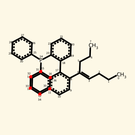 CCCC=C(CCC)c1ccc2ccccc2c1-c1ccccc1P(c1ccccc1)c1ccccc1